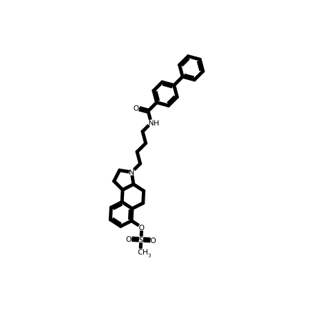 CS(=O)(=O)Oc1cccc2c1CCC1C2CCN1CCCCNC(=O)c1ccc(-c2ccccc2)cc1